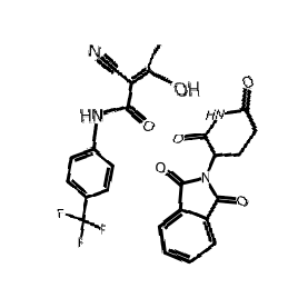 C/C(O)=C(\C#N)C(=O)Nc1ccc(C(F)(F)F)cc1.O=C1CCC(N2C(=O)c3ccccc3C2=O)C(=O)N1